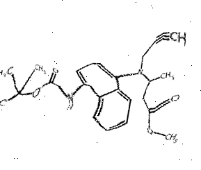 C#CCN(c1ccc(NC(=O)OC(C)(C)C)c2ccccc12)C(C)CC(=O)OC